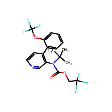 CC(C)(C)N(C(=O)OCC(F)(F)F)c1cnccc1-c1ccccc1OC(F)(F)F